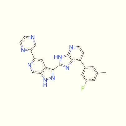 Cc1cc(F)cc(-c2ccnc3[nH]c(-c4n[nH]c5cnc(-c6cnccn6)cc45)nc23)c1